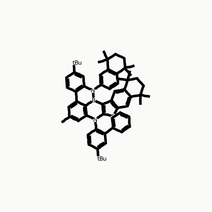 Cc1cc2c3c(c1)N(c1ccc(C(C)(C)C)cc1-c1ccccc1)c1sc4cc5c(cc4c1B3N(c1ccc3c(c1)C(C)(C)CCC3(C)C)c1cc(C(C)(C)C)ccc1-2)C(C)(C)CCC5(C)C